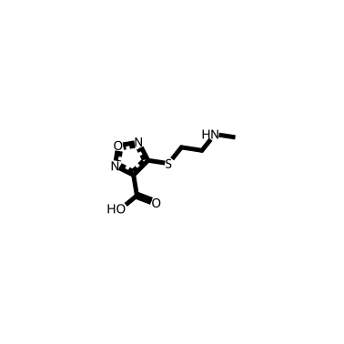 CNCCSc1nonc1C(=O)O